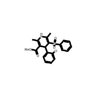 COC(=O)C1=C(C)NC(C)=C(S(=O)(=O)c2ccccc2)C1c1ccccc1Cl